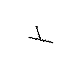 CCCCCCCCCCC(CCCCCCCC)CCCCCCCCCC